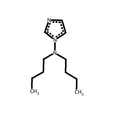 CCCCN(CCCC)n1ccnc1